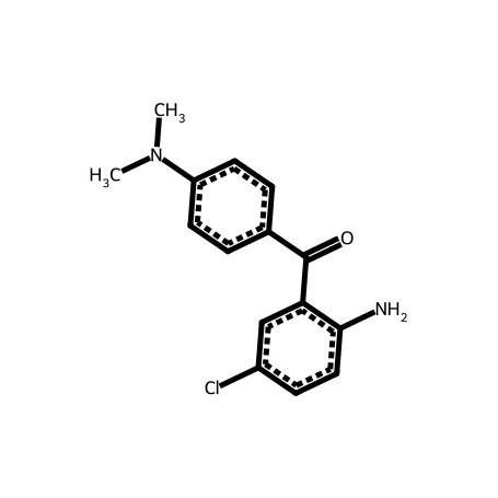 CN(C)c1ccc(C(=O)c2cc(Cl)ccc2N)cc1